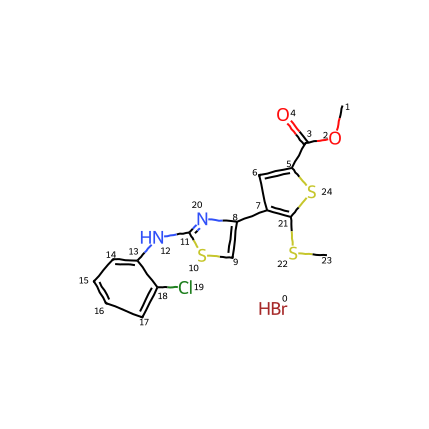 Br.COC(=O)c1cc(-c2csc(Nc3ccccc3Cl)n2)c(SC)s1